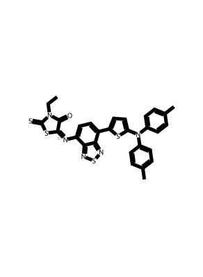 CCN1C(=O)/C(=N\c2ccc(-c3ccc(N(c4ccc(C)cc4)c4ccc(C)cc4)s3)c3nsnc23)SC1=S